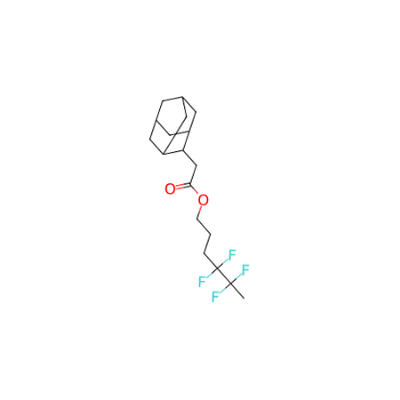 CC(F)(F)C(F)(F)CCCOC(=O)CC1C2CC3CC(C2)CC1C3